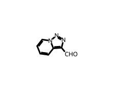 O=Cc1nnn2ccccc12